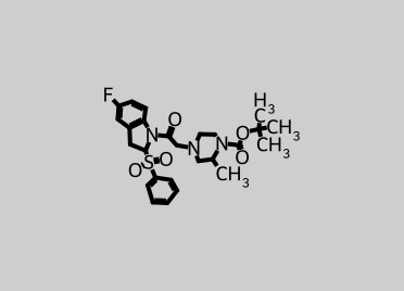 CC1CN(CC(=O)N2c3ccc(F)cc3CC2S(=O)(=O)c2ccccc2)CCN1C(=O)OC(C)(C)C